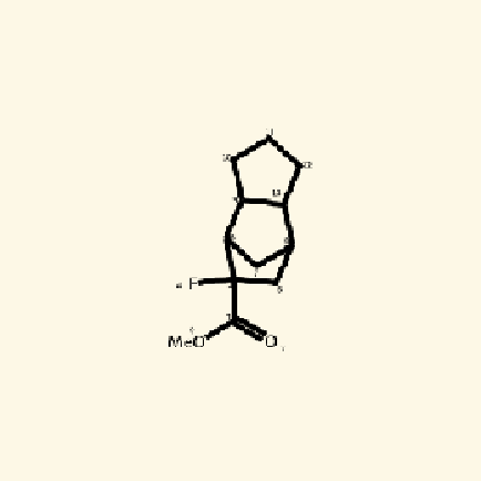 COC(=O)C1(F)CC2CC1C1CCCC21